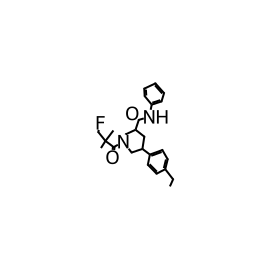 CCc1ccc(C2CC(C(=O)Nc3ccccc3)CN(C(=O)C(C)(C)CF)C2)cc1